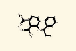 CCC(Oc1cccc(C(=O)O)c1C(=O)O)c1ccccc1